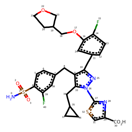 NS(=O)(=O)c1ccc(Cc2c(-c3ccc(F)c(OCC4CCOC4)c3)nn(-c3nc(C(=O)O)cs3)c2CC2CC2)cc1F